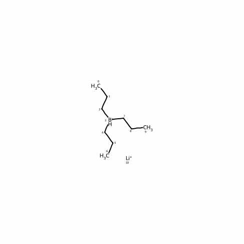 CCC[BH-](CCC)CCC.[Li+]